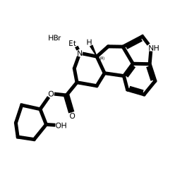 Br.CCN1CC(C(=O)OC2CCCCC2O)CC2c3cccc4[nH]cc(c34)C[C@H]21